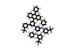 CC(C)(C)c1cccc(-c2cc(-c3cc4c5c(c3)N(c3ccccc3)c3cc(C(C)(C)C)ccc3B5c3ccc(C(C)(C)C)cc3N4c3ccccc3)cc(-c3c4ccccc4c(-c4ccccc4)c4ccccc34)c2)c1